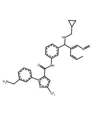 C=N/C=C(\C=C/C)C(NCC1CC1)c1cccc(NC(=O)c2cc(C(F)(F)F)nn2-c2cccc(CN)c2)c1